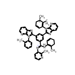 CC1=C(N/C(=N\c2cccnc2C)c2cc(-c3nc4cccnc4n3C3=C(C)[C@H](C)CC=C3)cc(-c3nc4cccnc4n3-c3ccccc3C)c2)C=CCC1